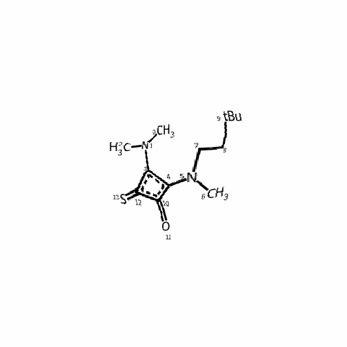 CN(C)c1c(N(C)CCC(C)(C)C)c(=O)c1=S